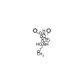 COCCC[C@H](O)NC(=O)C1CCCN1C(=O)[C@@H](Cc1ccccc1)NC(=O)OCc1ccccc1